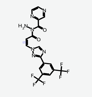 NN(C(=O)/C=C\n1cnc(-c2cc(C(F)(F)F)cc(C(F)(F)F)c2)n1)C(=O)c1cnccn1